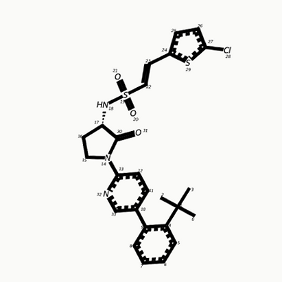 CC(C)(C)c1ccccc1-c1ccc(N2CC[C@H](NS(=O)(=O)/C=C/c3ccc(Cl)s3)C2=O)nc1